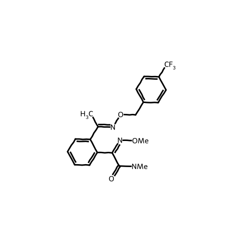 CNC(=O)C(=NOC)c1ccccc1C(C)=NOCc1ccc(C(F)(F)F)cc1